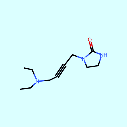 CCN(CC)CC#CCN1CCNC1=O